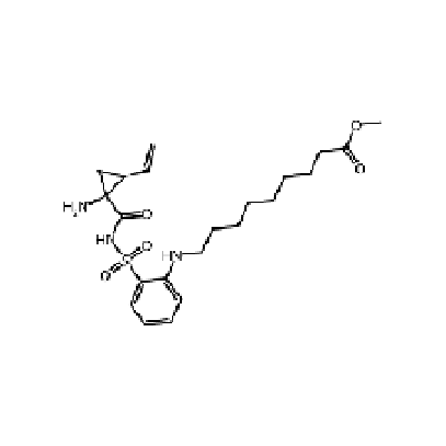 C=C[C@@H]1C[C@@]1(N)C(=O)NS(=O)(=O)c1ccccc1NCCCCCCCCC(=O)OC